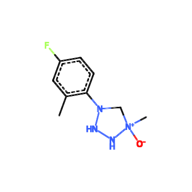 Cc1cc(F)ccc1N1C[N+](C)([O-])NN1